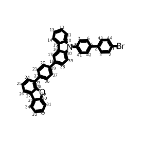 Brc1ccc(-c2ccc(-n3c4ccccc4c4cc(-c5ccc(-c6cccc7c6oc6ccccc67)cc5)ccc43)cc2)cc1